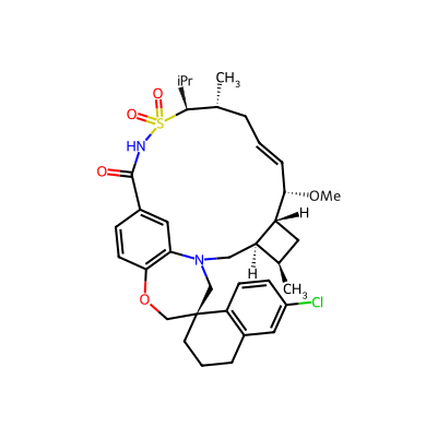 CO[C@H]1/C=C/C[C@@H](C)[C@H](C(C)C)S(=O)(=O)NC(=O)c2ccc3c(c2)N(C[C@H]2[C@H]1C[C@H]2C)C[C@@]1(CCCc2cc(Cl)ccc21)CO3